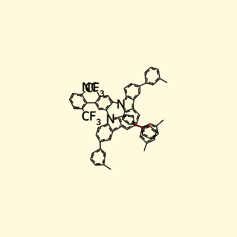 Cc1cccc(-c2ccc3c(c2)c2cc(-c4cccc(C)c4)ccc2n3-c2cc(C#N)c(-c3c(C(F)(F)F)cccc3C(F)(F)F)cc2-n2c3ccc(-c4cccc(C)c4)cc3c3cc(-c4cccc(C)c4)ccc32)c1